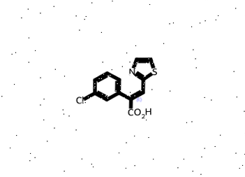 O=C(O)/C(=C/c1nccs1)c1cccc(Cl)c1